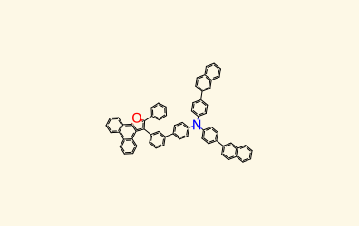 c1ccc(-c2oc3c4ccccc4c4ccccc4c3c2-c2cccc(-c3ccc(N(c4ccc(-c5ccc6ccccc6c5)cc4)c4ccc(-c5ccc6ccccc6c5)cc4)cc3)c2)cc1